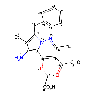 CCc1c(N)c2c(OCC(=O)O)c(C(=O)[C]=O)c(C)nn2c1Cc1ccccc1